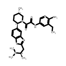 CCc1cc(NC(=O)C(=O)N2C[C@@H](C)CC[C@@H]2c2ccc3sc(C[C@@H](C)N(C)C)nc3c2)cnc1N